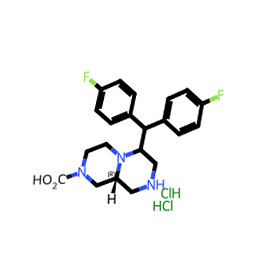 Cl.Cl.O=C(O)N1CCN2C(C(c3ccc(F)cc3)c3ccc(F)cc3)CNC[C@@H]2C1